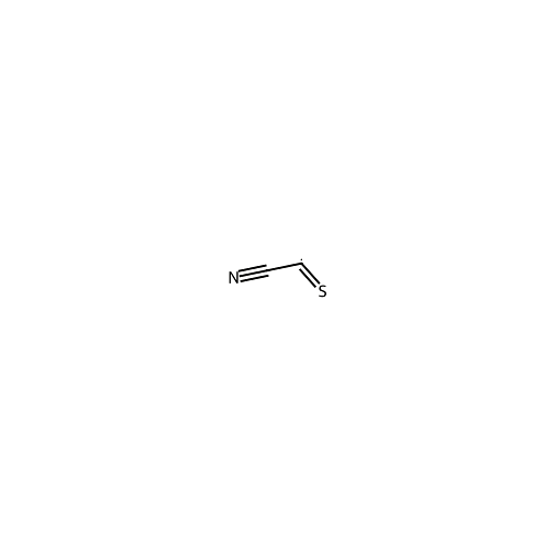 N#C[C]=S